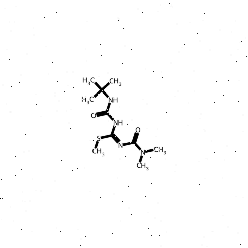 CSC(=NC(=O)N(C)C)NC(=O)NC(C)(C)C